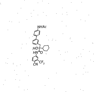 CC(=O)Nc1ccc(-c2cccc(CC(O)(C(=O)Nc3ccc(C#N)c(C(F)(F)F)c3)C3CCCCC3)c2)cc1